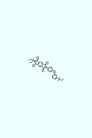 CCC(C)(C)c1cccc(Oc2ccc(-n3c(=O)c4cc5c(=O)n(C(C)(CC)CC)c(=O)c5cc4c3=O)cc2)c1